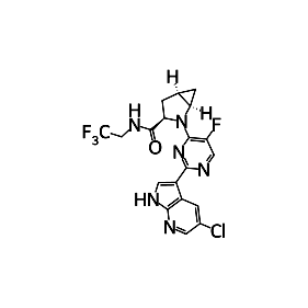 O=C(NCC(F)(F)F)[C@H]1C[C@H]2C[C@H]2N1c1nc(-c2c[nH]c3ncc(Cl)cc23)ncc1F